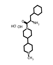 CN1CCC(C2CCN(C(=O)[C@H](N)CC3CCCCC3)CC2)CC1.Cl.Cl